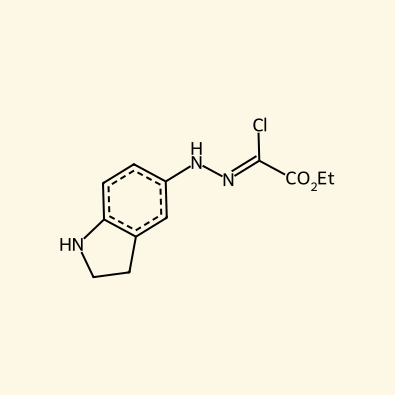 CCOC(=O)C(Cl)=NNc1ccc2c(c1)CCN2